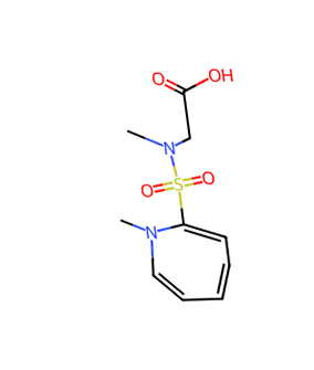 CN1C=CC=CC=C1S(=O)(=O)N(C)CC(=O)O